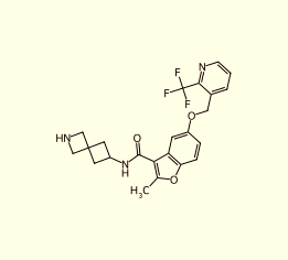 Cc1oc2ccc(OCc3cccnc3C(F)(F)F)cc2c1C(=O)NC1CC2(CNC2)C1